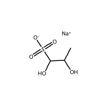 CC(O)C(O)S(=O)(=O)[O-].[Na+]